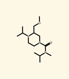 COCC1CN(C(=O)N(C)C(C)C)CCN1C(C)C